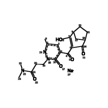 Cc1cc(C(=O)C2=C(O)C3CCC(C3)C2=O)c(=O)n(CCC(=O)N(C)C)n1.[Na]